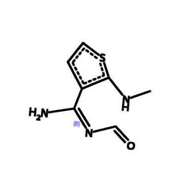 CNc1sccc1/C(N)=N\C=O